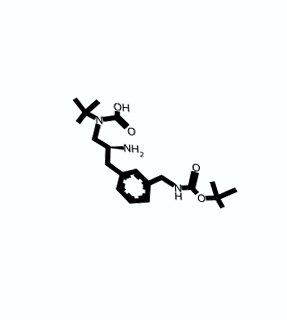 CC(C)(C)OC(=O)NCc1cccc(C[C@H](N)CN(C(=O)O)C(C)(C)C)c1